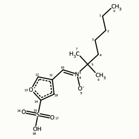 CCCCCC(C)(C)[N+]([O-])=Cc1coc(S(=O)(=O)O)c1